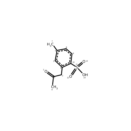 CC(=O)Cc1cc(C)ccc1S(=O)(=O)O